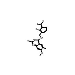 COc1cc2nc(C)nc(NCc3cccc(C(F)F)c3F)c2cc1C